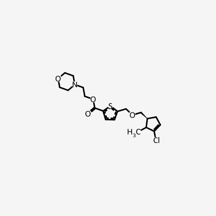 CC1C(Cl)=CC[C@@H]1COCc1ccc(C(=O)OCCN2CCOCC2)s1